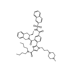 CCCCN(CCCC)C(=O)c1cn(CCCN2CCN(C)CC2)c(-c2ccc(C(=O)NS(=O)(=O)c3ccc4ccccc4c3)cc2C(=O)N2Cc3ccccc3C[C@H]2CC)n1